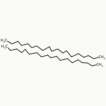 CCCCCCCCCCCCCCCCCCC.CCCCCCCCCCCCCCCCCCC